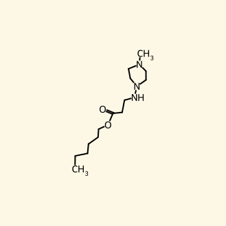 CCCCCCOC(=O)CCNN1CCN(C)CC1